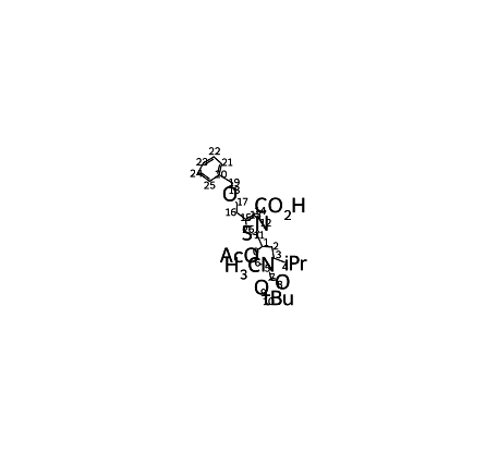 CC(=O)OC(CC(C(C)C)N(C)C(=O)OC(C)(C)C)c1nc(C(=O)O)c(CCOCc2ccccc2)s1